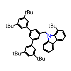 CC(C)(C)c1cc(-c2cc(Cn3c4ccccc4c4cccc(C(C)(C)C)c43)cc(-c3cc(C(C)(C)C)cc(C(C)(C)C)c3)c2)cc(C(C)(C)C)c1